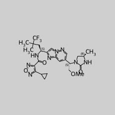 COC[C@H](c1cnn2cc([C@H](CC(C)(C)C(F)(F)F)NC(=O)c3nonc3C3CC3)nc2c1)N1C[C@@H](C)NC1=O